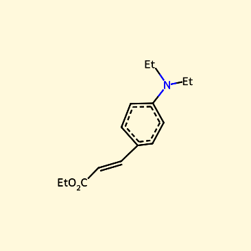 CCOC(=O)C=Cc1ccc(N(CC)CC)cc1